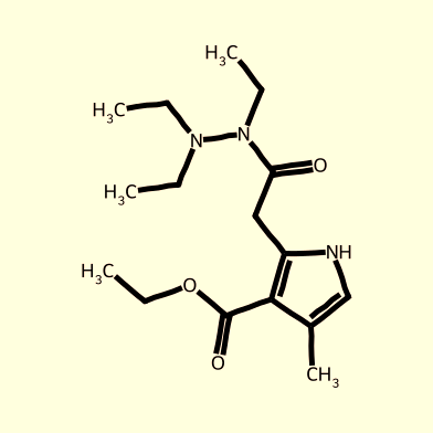 CCOC(=O)c1c(C)c[nH]c1CC(=O)N(CC)N(CC)CC